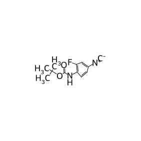 [C-]#[N+]c1ccc(NC(=O)OC(C)(C)C)c(F)c1